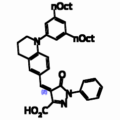 CCCCCCCCc1cc(CCCCCCCC)cc(N2CCCc3cc(/C=C4\C(=O)N(c5ccccc5)N=C4C(=O)O)ccc32)c1